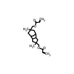 C=CC(=O)OCC1(C)CC2CC(C1)C1CC(C)(COC(=O)C=C)CC21